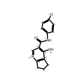 O=C(Nc1ccc(Cl)cc1)c1cnc2c(c1O)CCC2